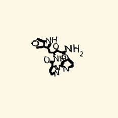 NC(=O)C(=O)C(Cc1c[nH]c2cocc12)NC(=O)c1ccnn1-c1ccccn1